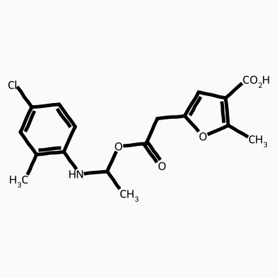 Cc1cc(Cl)ccc1NC(C)OC(=O)Cc1cc(C(=O)O)c(C)o1